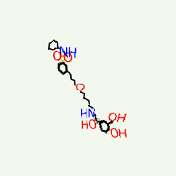 O=S(=O)(NC1CCCCC1)c1cccc(CCCCOCCCCCCNC[C@@H](O)c2ccc(O)c(CO)c2)c1